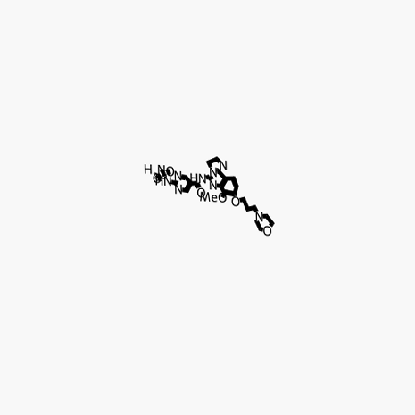 COc1c(OCCCN2CCOCC2)ccc2c1N=C(NC(=O)c1cnc(NS(N)(=O)=O)nc1)N1CCN=C21